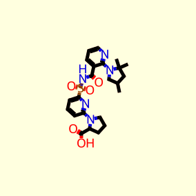 CC1CN(c2ncccc2C(=O)NS(=O)(=O)c2cccc(N3CCCC3C(=O)O)n2)C(C)(C)C1